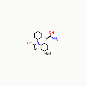 NC(O)=[Te].OC(=[Te])N(C1CCCCC1)C1CCCCC1.[NaH]